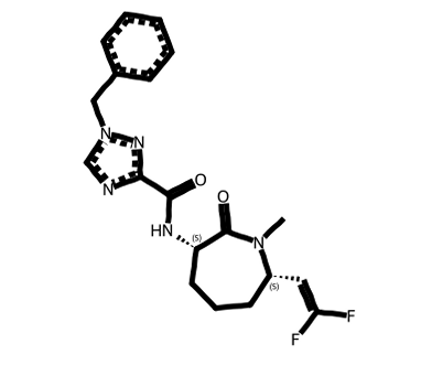 CN1C(=O)[C@@H](NC(=O)c2ncn(Cc3ccccc3)n2)CCC[C@H]1C=C(F)F